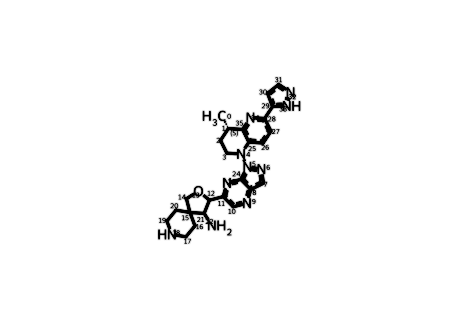 C[C@H]1CCN(n2ncc3ncc(C4OCC5(CCNCC5)C4N)nc32)c2ccc(-c3ccn[nH]3)nc21